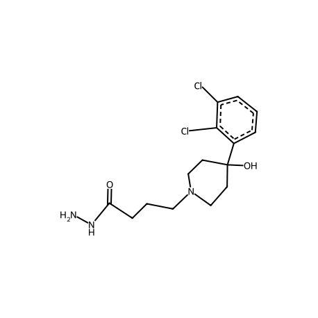 NNC(=O)CCCN1CCC(O)(c2cccc(Cl)c2Cl)CC1